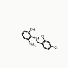 Nc1cccc(O)c1NCc1ccc(Cl)cc1Cl